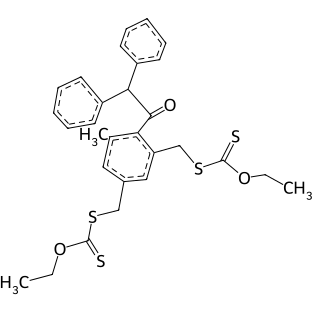 CCOC(=S)SCc1cc(C)c(C(=O)C(c2ccccc2)c2ccccc2)c(CSC(=S)OCC)c1